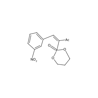 CC(=O)C(=Cc1cccc([N+](=O)[O-])c1)P1(=O)OCCCO1